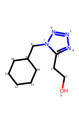 OC[CH]c1nnnn1CC1CCCCC1